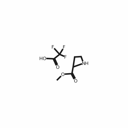 COC(=O)C1CCN1.O=C(O)C(F)(F)F